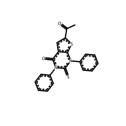 CC(=O)c1[c]c2c(=O)n(-c3ccccc3)c(=S)n(-c3ccccc3)c2s1